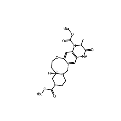 CC1C(=O)Nc2cc3c(cc2N1C(=O)OC(C)(C)C)OCC[C@H]1CN(C(=O)OC(C)(C)C)CCN1C3